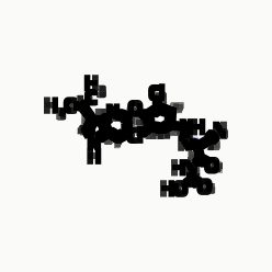 CC(C)c1c[nH]c2ccc(Oc3c(Cl)cc(N/N=C(\C#N)C(=O)NC(=O)O)cc3Cl)nc12